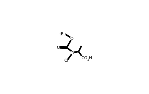 CC(C(=O)O)N(Cl)C(=O)OC(C)(C)C